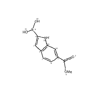 COC(=O)c1ccc2cc(B(O)O)[nH]c2c1